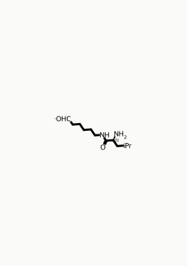 CC(C)C[C@H](N)C(=O)NCCCCC[C]=O